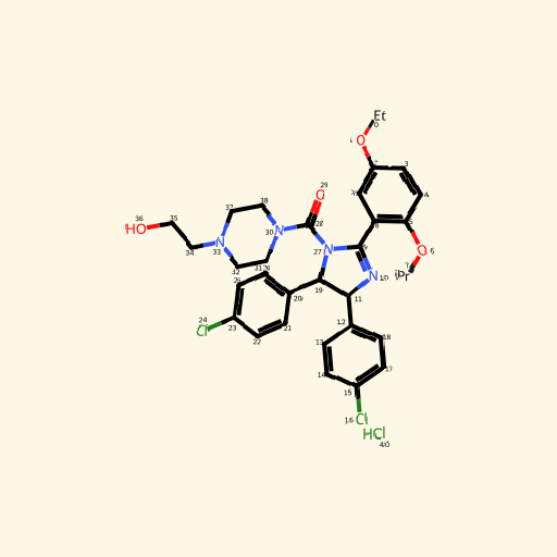 CCOc1ccc(OC(C)C)c(C2=NC(c3ccc(Cl)cc3)C(c3ccc(Cl)cc3)N2C(=O)N2CCN(CCO)CC2)c1.Cl